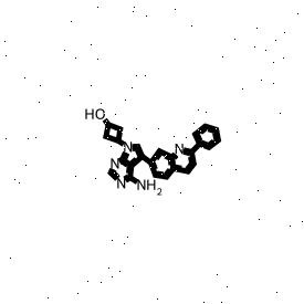 Nc1ncnc2c1c(-c1ccc3ccc(-c4ccccc4)nc3c1)cn2C1CC(O)C1